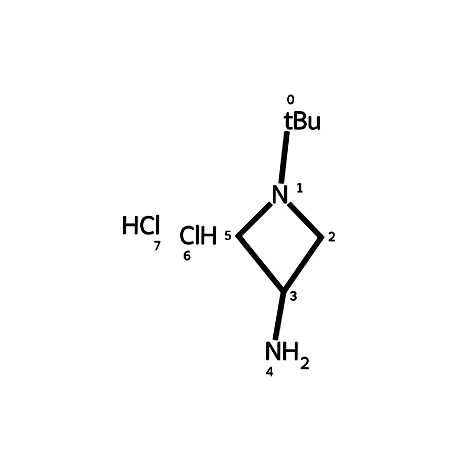 CC(C)(C)N1CC(N)C1.Cl.Cl